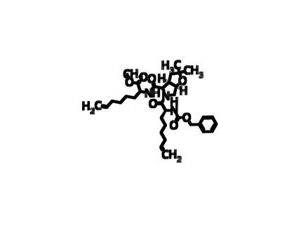 C=CCCCCC(NC(=O)C1[C@H]2CC(C)(C)O[C@H]2CN1C(=O)[C@H](CCCCC=C)NC(=O)OCc1ccccc1)C(=O)OC